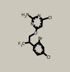 Nc1nc(Cl)cc(OCC(c2ccc(Cl)cc2Br)C(F)(F)F)n1